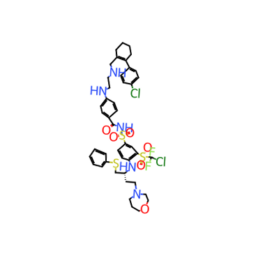 O=C(NS(=O)(=O)c1ccc(N[C@H](CCN2CCCOCC2)CSc2ccccc2)c(S(=O)(=O)C(F)(F)Cl)c1)c1ccc(NCCNCC2=C(c3ccc(Cl)cc3)CCCC2)cc1